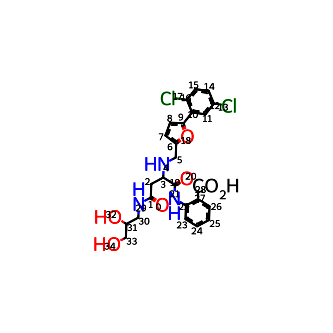 O=C(CC(NCc1ccc(-c2cc(Cl)ccc2Cl)o1)C(=O)Nc1ccccc1C(=O)O)NCC(O)CO